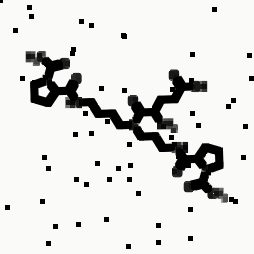 CC(=O)N1CCCC1C(=O)NCCCCN(CCCNC(=O)C1CCCN1C(C)=O)C(=O)C(N)CCC(=O)O